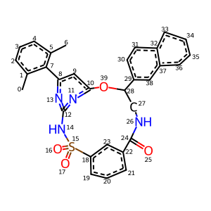 Cc1cccc(C)c1-c1cc2nc(n1)NS(=O)(=O)c1cccc(c1)C(=O)NCC(c1ccc3ccccc3c1)O2